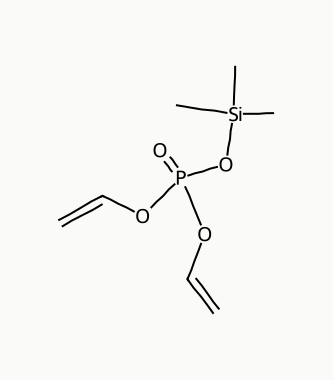 C=COP(=O)(OC=C)O[Si](C)(C)C